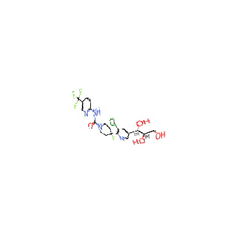 O=C(Nc1ccc(C(F)(F)F)cn1)N1CCC(F)(c2ncc([C@H](O)[C@H](O)CO)cc2Cl)CC1